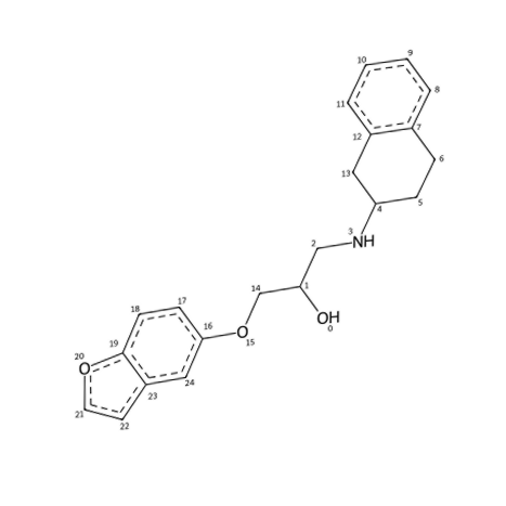 OC(CNC1CCc2ccccc2C1)COc1ccc2occc2c1